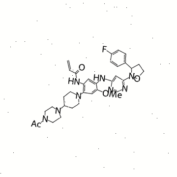 C=CC(=O)Nc1cc(Nc2cc(N3OCCC3c3ccc(F)cc3)ncn2)c(OC)cc1N1CCC(N2CCN(C(C)=O)CC2)CC1